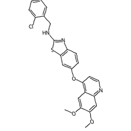 COc1cc2nccc(Oc3ccc4nc(NCc5ccccc5Cl)sc4c3)c2cc1OC